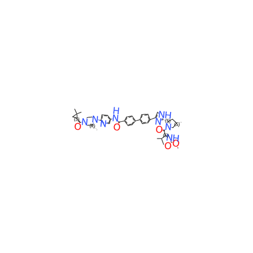 COC(=O)N[C@H](C(=O)N1C[C@@H](C)C[C@H]1c1nc(-c2ccc(-c3ccc(C(=O)Nc4ccc(N5CCN(C(=O)[C@H]6CC6(C)C)C[C@H]5C)nc4)cc3)cc2)c[nH]1)C(C)C